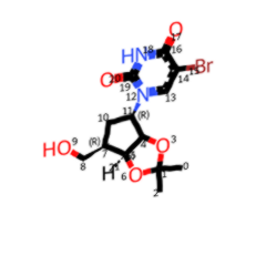 CC1(C)OC2[C@@H](O1)[C@@H](CO)C[C@H]2n1cc(Br)c(=O)[nH]c1=O